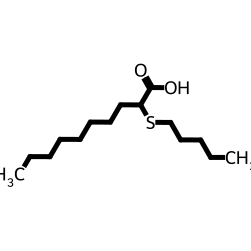 CCCCCCCCC(SCCCCC)C(=O)O